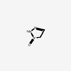 O=[N+]1CC=NN1